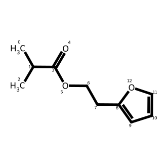 CC(C)C(=O)OCCc1ccco1